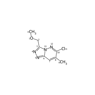 COCc1nnc2cc(C)c(Cl)nn12